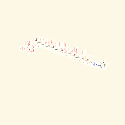 CCC(OC1OC(C)C(O)C(O)C1O)C(C)C(=O)CC(O)CC(O)CC(O)/C=C/CC(O)CC(O)CC(O)CC(O)/C=C/CC(O)CC(O)CCC/N=C/c1ccccc1